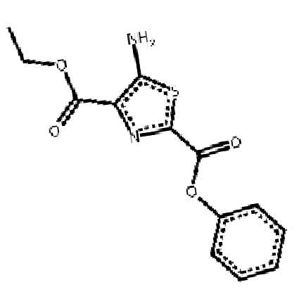 CCOC(=O)c1nc(C(=O)Oc2ccccc2)sc1N